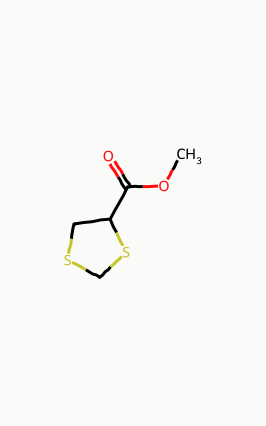 COC(=O)C1CSCS1